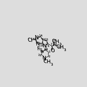 CN1CC[C@@H](n2c(C(=O)N(C)C)cc3cnc(Cl)nc32)[C@@H](F)C1